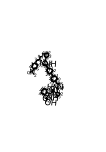 CN(C)c1ccc(/C=C/CN2CCC[C@H]2c2ncc(-c3ccc(-c4ccc(-c5cnc([C@@H]6CCCN6C(=O)[C@H](NC(=O)O)c6ccccc6)[nH]5)cc4)cc3)[nH]2)cc1